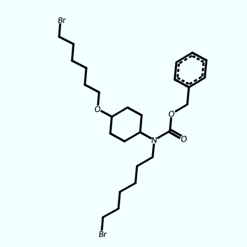 O=C(OCc1ccccc1)N(CCCCCCBr)C1CCC(OCCCCCCBr)CC1